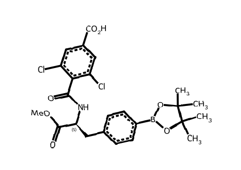 COC(=O)[C@H](Cc1ccc(B2OC(C)(C)C(C)(C)O2)cc1)NC(=O)c1c(Cl)cc(C(=O)O)cc1Cl